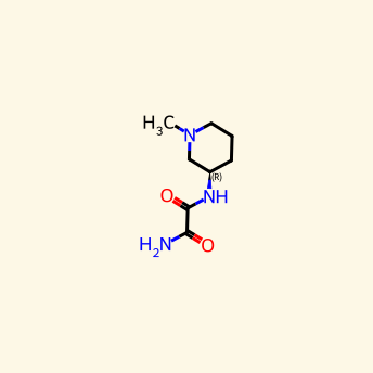 CN1CCC[C@@H](NC(=O)C(N)=O)C1